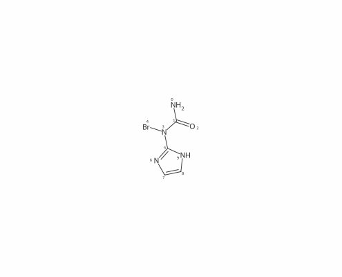 NC(=O)N(Br)c1ncc[nH]1